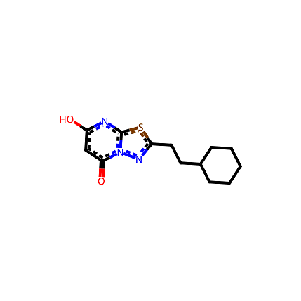 O=c1cc(O)nc2sc(CCC3CCCCC3)nn12